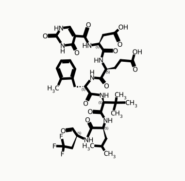 Cc1ccccc1C[C@H](NC(=O)[C@H](CCC(=O)O)NC(=O)[C@H](CC(=O)O)NC(=O)c1c[nH]c(=O)[nH]c1=O)C(=O)N[C@H](C(=O)N[C@@H](CC(C)C)C(=O)N[C@H](C=O)CC(F)(F)F)C(C)(C)C